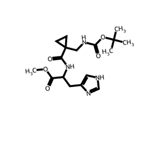 COC(=O)C(Cc1c[nH]cn1)NC(=O)C1(CNC(=O)OC(C)(C)C)CC1